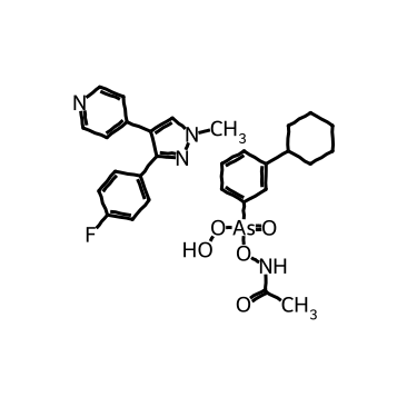 CC(=O)NO[As](=O)(OO)c1cccc(C2CCCCC2)c1.Cn1cc(-c2ccncc2)c(-c2ccc(F)cc2)n1